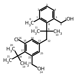 Cc1cccc(CO)c1C(C)(C)Cc1cc(Cl)c(C(C)(C)C)c(CO)c1